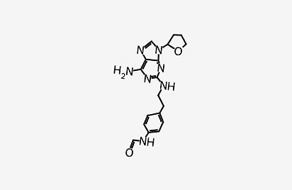 Nc1nc(NCCc2ccc(NC=O)cc2)nc2c1ncn2C1CCCO1